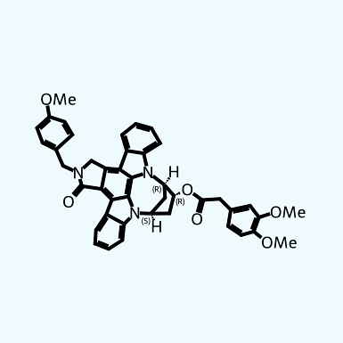 COc1ccc(CN2Cc3c(c4c5ccccc5n5c4c4c3c3ccccc3n4[C@@H]3C[C@H]5C[C@H]3OC(=O)Cc3ccc(OC)c(OC)c3)C2=O)cc1